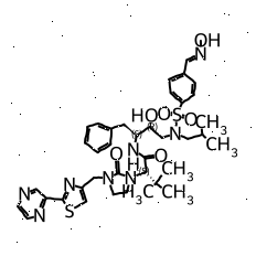 CC(C)CN(C[C@@H](O)[C@H](Cc1ccccc1)NC(=O)[C@@H](N1CCN(Cc2csc(-c3cnccn3)n2)C1=O)C(C)(C)C)S(=O)(=O)c1ccc(C=NO)cc1